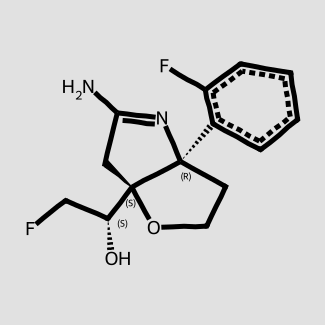 NC1=N[C@@]2(c3ccccc3F)CCO[C@@]2([C@H](O)CF)C1